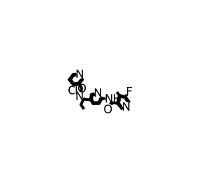 CCC(=NOc1cnccc1Cl)c1ccc(NC(=O)c2cncc(F)c2C)nc1